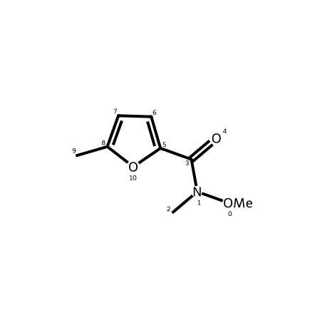 CON(C)C(=O)c1ccc(C)o1